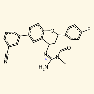 CN(C=O)/C(N)=N\C1CC(c2ccc(F)cc2)Oc2ccc(-c3cccc(C#N)c3)cc21